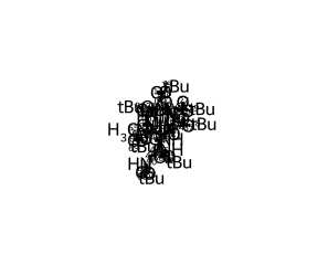 CC(C)C[C@H](NC(=O)[C@H](COC(C)(C)C)NC(=O)[C@H](CCC(=O)OC(C)(C)C)NC(=O)[C@H](CCC(=O)OC(C)(C)C)NC(=O)[C@H](CC(=O)OC(C)(C)C)NC(=O)CNC(=O)[C@H](CCCCNC(=O)OC(C)(C)C)NC(=O)OC(C)(C)C)C(=O)N[C@@H](C)C(=O)OC(C)(C)C